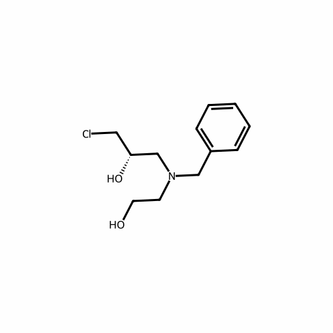 OCCN(Cc1ccccc1)C[C@H](O)CCl